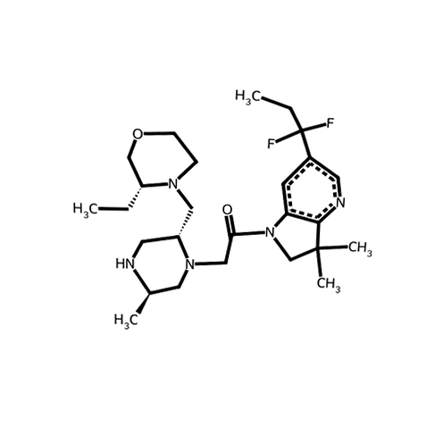 CC[C@@H]1COCCN1C[C@H]1CN[C@H](C)CN1CC(=O)N1CC(C)(C)c2ncc(C(F)(F)CC)cc21